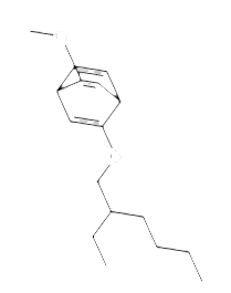 CCCCC(CC)COC1=C[C]2C=C[C]1C=C2OC